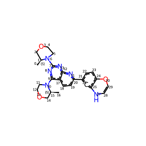 C[C@H]1COCCN1c1nc(N2CCOC[C@@H]2C)c2ccc(-c3ccc4c(c3)NC=CO4)nc2n1